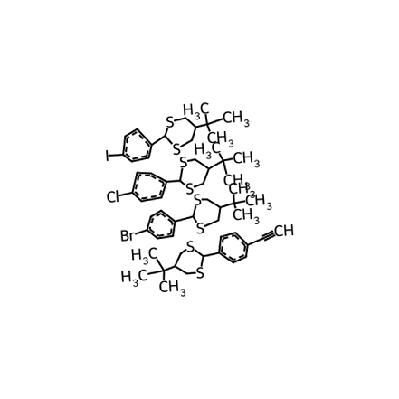 C#Cc1ccc(C2SCC(C(C)(C)C)CS2)cc1.CC(C)(C)C1CSC(c2ccc(Br)cc2)SC1.CC(C)(C)C1CSC(c2ccc(Cl)cc2)SC1.CC(C)(C)C1CSC(c2ccc(I)cc2)SC1